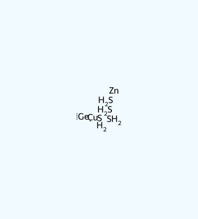 S.S.S.S.[Cu].[Ge].[Zn]